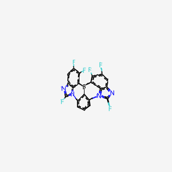 Fc1cc2nc(F)n3c2c(c1F)B1c2c-3cccc2-n2c(F)nc3cc(F)c(F)c1c32